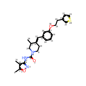 Cc1onc(NC(=O)N2CC/C(=C\c3cccc(OCCc4ccsc4)c3)C(C)C2)c1C